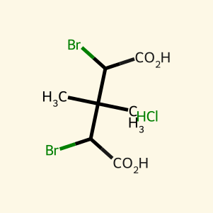 CC(C)(C(Br)C(=O)O)C(Br)C(=O)O.Cl